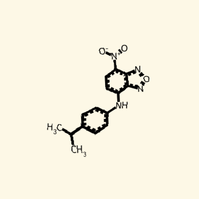 CC(C)c1ccc(Nc2ccc([N+](=O)[O-])c3nonc23)cc1